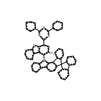 FC(F)(F)c1cc(-c2nc(-c3ccccc3)nc(-c3ccccc3)n2)c2oc3ccccc3c2c1-n1c2ccccc2c2ccc3c(c21)-c1ccccc1C31c2ccccc2-c2ccccc21